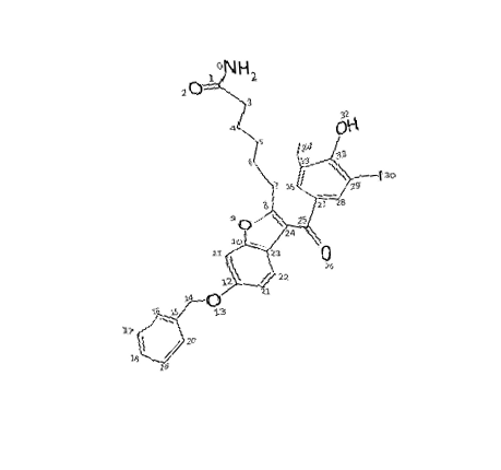 NC(=O)CCCCCc1oc2cc(OCc3ccccc3)ccc2c1C(=O)c1cc(I)c(O)c(I)c1